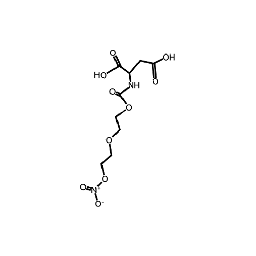 O=C(O)CC(NC(=O)OCCOCCO[N+](=O)[O-])C(=O)O